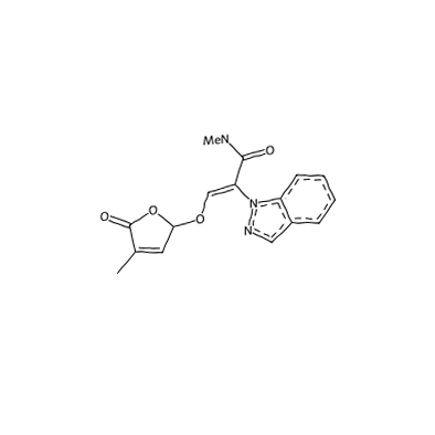 CNC(=O)/C(=C/OC1C=C(C)C(=O)O1)n1ncc2ccccc21